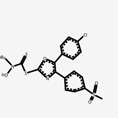 CCCCN(O)C(=S)Sc1nc(-c2ccc(S(C)(=O)=O)cc2)c(-c2ccc(Cl)cc2)o1